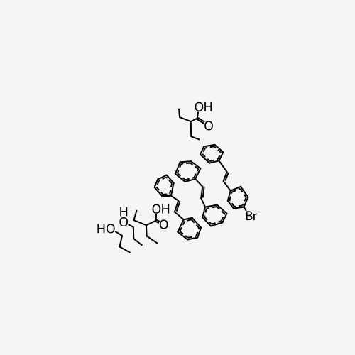 Brc1ccc(C=Cc2ccccc2)cc1.C(=Cc1ccccc1)c1ccccc1.C(=Cc1ccccc1)c1ccccc1.CCC(CC)C(=O)O.CCC(CC)C(=O)O.CCCO.CCCO